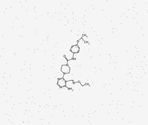 CCO/N=C/c1c(N)ncnc1N1CCN(C(=O)Nc2ccc(OC(C)C)cc2)CC1